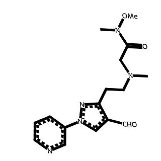 CON(C)C(=O)CN(C)CCc1nn(-c2cccnc2)cc1C=O